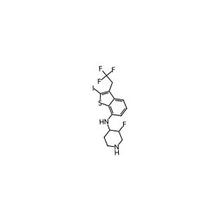 FC1CNCCC1Nc1cccc2c(CC(F)(F)F)c(I)sc12